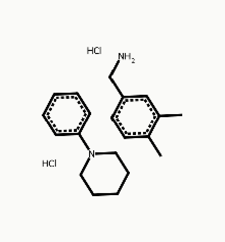 Cc1ccc(CN)cc1C.Cl.Cl.c1ccc(N2CCCCC2)cc1